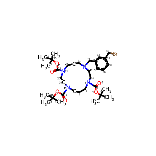 CC(C)(C)OC(=O)N1CCCN(C(=O)OC(C)(C)C)CCN(C(=O)OC(C)(C)C)CCCN(Cc2cccc(CBr)c2)CC1